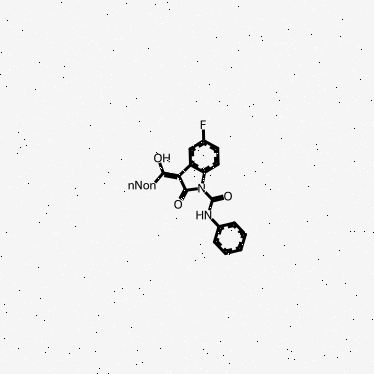 CCCCCCCCCC(O)=C1C(=O)N(C(=O)Nc2ccccc2)c2ccc(F)cc21